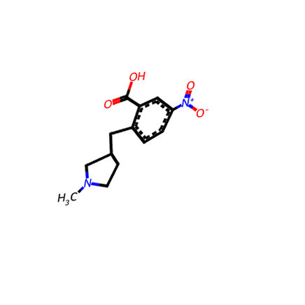 CN1CCC(Cc2ccc([N+](=O)[O-])cc2C(=O)O)C1